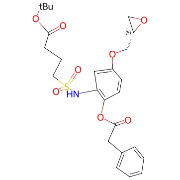 CC(C)(C)OC(=O)CCCS(=O)(=O)Nc1cc(OC[C@@H]2CO2)ccc1OC(=O)Cc1ccccc1